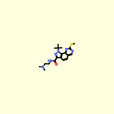 CSc1ncc2ccc3c(C(=O)NCCN(C)C)nn(C(C)(C)C)c3c2n1